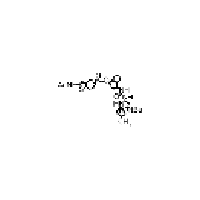 CC(=O)Nc1cc2c(s1)CCN(C(=O)COc1ccc(NC(=O)N/C(=C/C(=N)C(C)(C)C)Nc3ccc(C)cc3)c3c1CCC3)C2